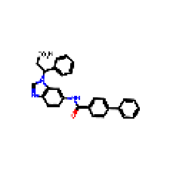 O=C(O)CC(c1ccccc1)n1cnc2ccc(NC(=O)c3ccc(-c4ccccc4)cc3)cc21